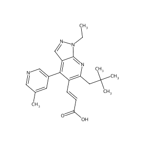 CCn1ncc2c(-c3cncc(C)c3)c(/C=C/C(=O)O)c(CC(C)(C)C)nc21